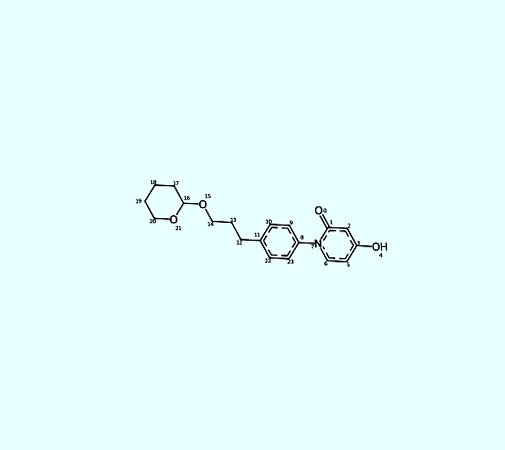 O=c1cc(O)ccn1-c1ccc(CCCOC2CCCCO2)cc1